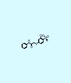 O=C(CSc1ccc(S(=O)(=O)Cl)c(Cl)c1)Nc1ccccc1